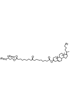 CCCCCC(CCCCC)CCOC(=O)CCCCCCCC(=O)CCCCCCCC(=O)O[C@H]1CC[C@@]2(C)C(=CCC3C2CC[C@@]2(C)C3CC[C@@H]2C(C)CCCC(C)C)C1